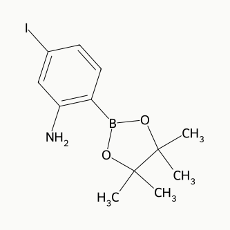 CC1(C)OB(c2ccc(I)cc2N)OC1(C)C